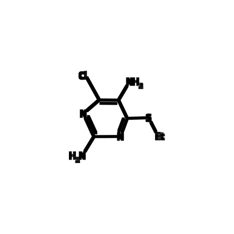 CCSc1nc(N)nc(Cl)c1N